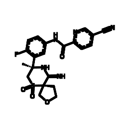 C[C@@]1(c2cc(NC(=O)c3ccc(C#N)cn3)ccc2F)CS(=O)(=O)[C@]2(CCOC2)C(=N)N1